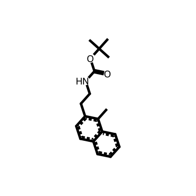 Cc1c(CCNC(=O)OC(C)(C)C)ccc2ccccc12